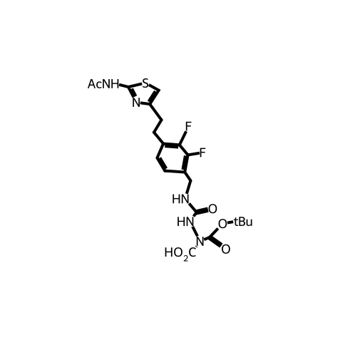 CC(=O)Nc1nc(CCc2ccc(CNC(=O)NN(C(=O)O)C(=O)OC(C)(C)C)c(F)c2F)cs1